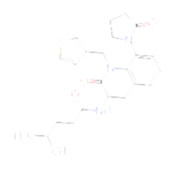 CC(C)CCC(=O)NC1Cc2cccc(N3CCCC3=O)c2N(Cc2ccsc2)C1=O